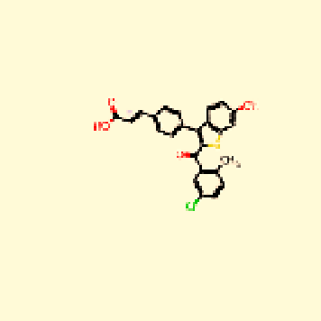 Cc1ccc(Cl)cc1C(=O)c1sc2cc(O)ccc2c1-c1ccc(/C=C/C(=O)O)cc1